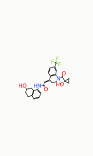 O=C(/C=C1\CCN(C(=O)C2(O)CC2)c2cc(C(F)(F)F)ccc21)Nc1cccc2c1CC(O)CC2